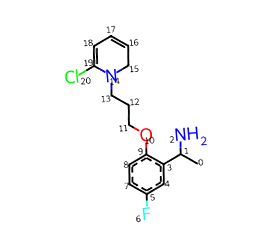 CC(N)c1cc(F)ccc1OCCCN1CC=CC=C1Cl